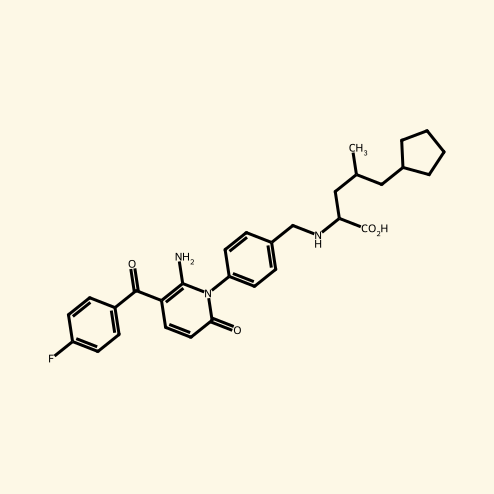 CC(CC1CCCC1)CC(NCc1ccc(-n2c(N)c(C(=O)c3ccc(F)cc3)ccc2=O)cc1)C(=O)O